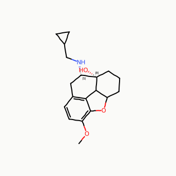 COc1ccc2c3c1OC1CCC[C@@](O)(C31)[C@@H](NCC1CC1)C2